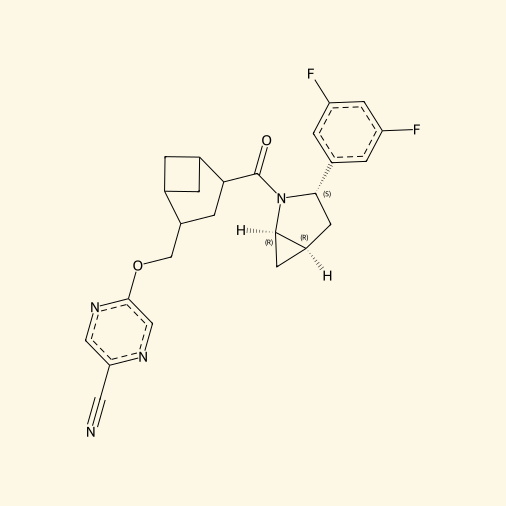 N#Cc1cnc(OCC2CC(C(=O)N3[C@@H]4C[C@@H]4C[C@H]3c3cc(F)cc(F)c3)C3CC2C3)cn1